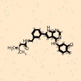 CN(C)CC(=O)NCc1cccc(-c2cc3c(Nc4ccc(F)c(Cl)c4)ncnc3[nH]2)c1